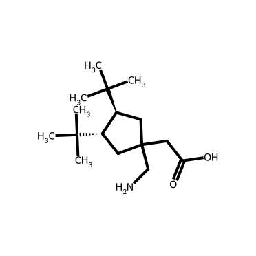 CC(C)(C)[C@H]1CC(CN)(CC(=O)O)C[C@@H]1C(C)(C)C